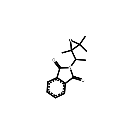 CC(N1C(=O)c2ccccc2C1=O)C1(C)OC1(C)C